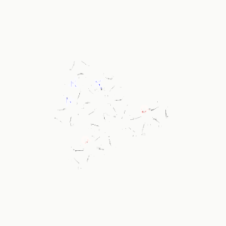 c1ccc(N2CCN(c3ccccc3)c3cc4c(cc32)-c2ccc(-c3cccc5c3oc3ccccc35)cc2-c2cc(-c3cccc5c3oc3ccccc35)ccc2-c2cccnc2-4)cc1